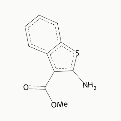 COC(=O)c1c(N)sc2ccccc12